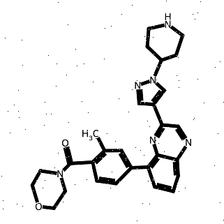 Cc1cc(-c2cccc3ncc(-c4cnn(C5CCNCC5)c4)nc23)ccc1C(=O)N1CCOCC1